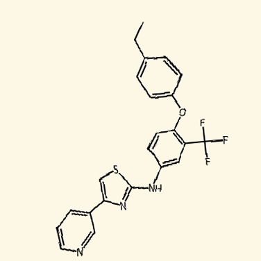 CCc1ccc(Oc2ccc(Nc3nc(-c4cccnc4)cs3)cc2C(F)(F)F)cc1